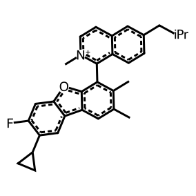 Cc1cc2c(oc3cc(F)c(C4CC4)cc32)c(-c2c3ccc(CC(C)C)cc3cc[n+]2C)c1C